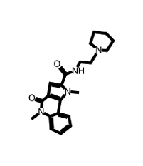 Cn1c(C(=O)NCCN2CCCCC2)cc2c(=O)n(C)c3ccccc3c21